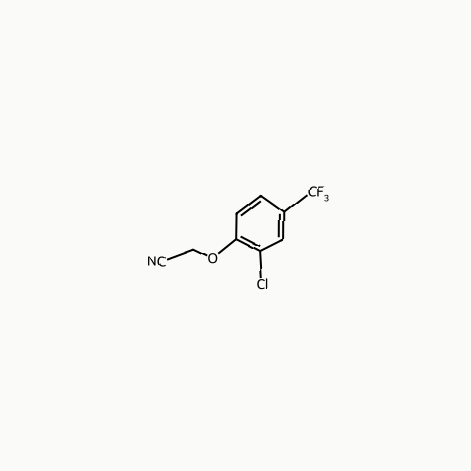 N#CCOc1ccc(C(F)(F)F)cc1Cl